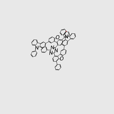 c1ccc(-c2nc(-c3ccc(-c4ccccc4)c4oc5ccc(-c6ccc7c(c6)c6ccccc6n7-c6ccccc6)cc5c34)nc(-c3ccc(-c4ccccc4)c4oc5ccc(-c6ccc7c(c6)c6ccccc6n7-c6ccccc6)cc5c34)n2)cc1